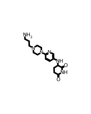 NCCCN1CCN(c2ccc(NC3CCC(=O)NC3=O)cn2)CC1